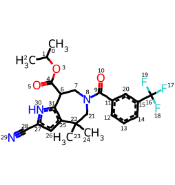 CC(C)OC(=O)C1CN(C(=O)c2cccc(C(F)(F)F)c2)CC(C)(C)c2cc(C#N)[nH]c21